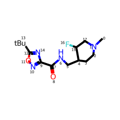 CN1CCC(CNC(=O)c2noc(C(C)(C)C)n2)C(F)C1